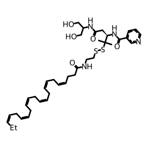 CC/C=C\C/C=C\C/C=C\C/C=C\C/C=C\C/C=C\CCC(=O)NCCSSC(C)(C)[C@@H](CC(=O)NC(CO)CO)NC(=O)c1cccnc1